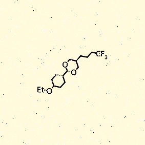 CCO[C@H]1CC[C@H]([C@H]2OC[C@H](CCCC(F)(F)F)CO2)CC1